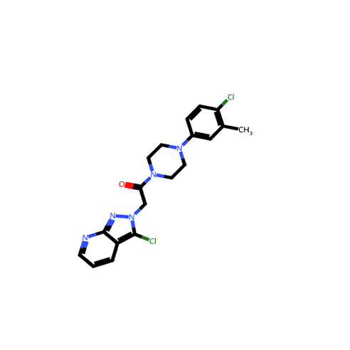 Cc1cc(N2CCN(C(=O)Cn3nc4ncccc4c3Cl)CC2)ccc1Cl